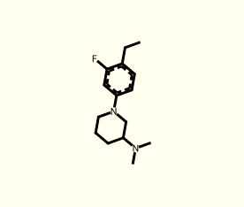 CCc1ccc(N2CCCC(N(C)C)C2)cc1F